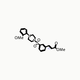 COC(=O)/C=C/c1cccc(S(=O)(=O)N2CCN(c3ccccc3OC)CC2)c1